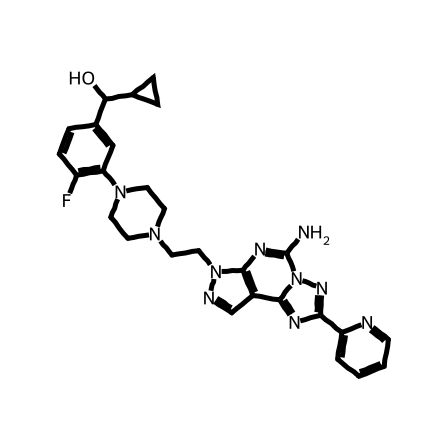 Nc1nc2c(cnn2CCN2CCN(c3cc(C(O)C4CC4)ccc3F)CC2)c2nc(-c3ccccn3)nn12